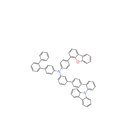 c1ccc(-c2ccccc2-c2ccc(N(c3ccc(-c4cccc5c4oc4ccccc45)cc3)c3cccc(-c4ccc(-c5ccccc5-n5c6ccccc6c6ccccc65)cc4)c3)cc2)cc1